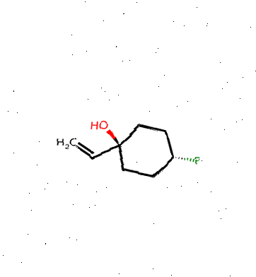 C=C[C@]1(O)CC[C@H](F)CC1